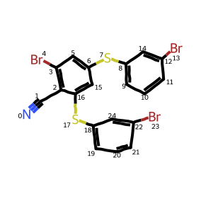 N#Cc1c(Br)cc(Sc2cccc(Br)c2)cc1Sc1cccc(Br)c1